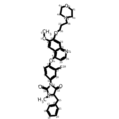 COc1cc2c(Oc3ccc(N4C(=O)C(Cc5ccccc5)N(C)C4=O)cc3F)ccnc2cc1OCCCN1CCOCC1